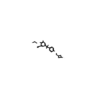 CC(C)(c1ccc(OCC2CC(N)C2)cc1)c1cc(Cl)c(OCCCl)c(C#N)c1